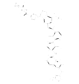 Cc1c(-c2nc3cc4c(c(OC(F)(F)F)c3o2)CC[C@H]4N2CC[C@@H](C(=O)NS(=O)(=O)C3CC3)C2)cccc1-c1cccc(Nc2nccc3cc(CN4CC[C@@H](O)C4)cnc23)c1Cl